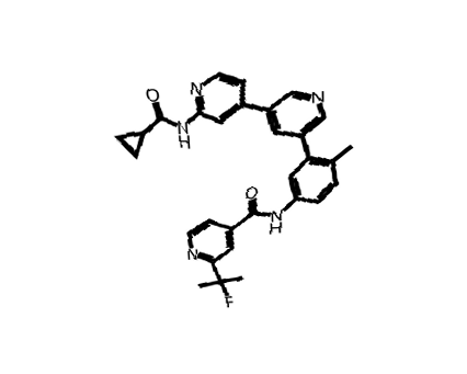 Cc1ccc(NC(=O)c2ccnc(C(C)(C)F)c2)cc1-c1cncc(-c2ccnc(NC(=O)C3CC3)c2)c1